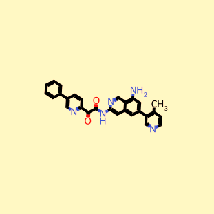 Cc1ccncc1-c1cc(N)c2cnc(NC(=O)C(=O)c3ccc(-c4ccccc4)cn3)cc2c1